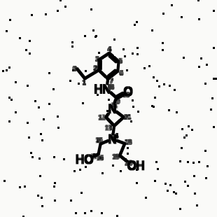 CCc1ccccc1NC(=O)N1CC(N(CCO)CCO)C1